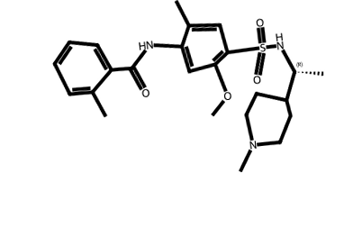 COc1cc(NC(=O)c2ccccc2C)c(C)cc1S(=O)(=O)N[C@H](C)C1CCN(C)CC1